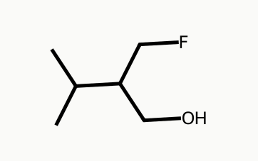 CC(C)C(CO)CF